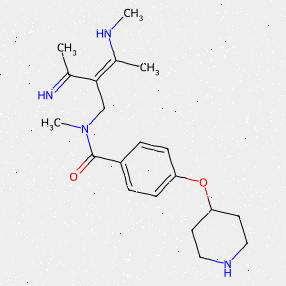 CN/C(C)=C(/CN(C)C(=O)c1ccc(OC2CCNCC2)cc1)C(C)=N